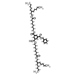 CCCCCC(CCCCC)CCOC(=O)CCCCCCCOC(=O)c1cc(C(=O)OCc2ccccc2)cc(C(O)OCCCCCCCC(=O)OCCC(CCCCC)CCCCC)c1